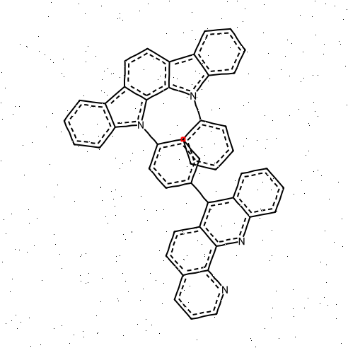 c1ccc(-n2c3ccccc3c3ccc4c5ccccc5n(-c5ccc(-c6c7ccccc7nc7c6ccc6cccnc67)cc5)c4c32)cc1